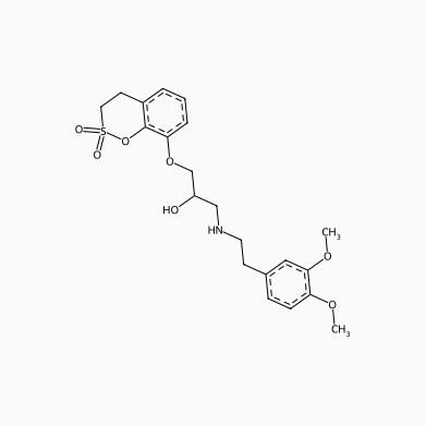 COc1ccc(CCNCC(O)COc2cccc3c2OS(=O)(=O)CC3)cc1OC